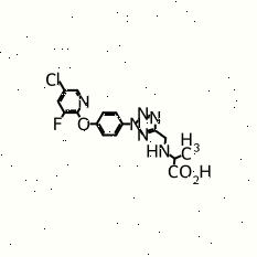 CC(NCc1nnn(-c2ccc(Oc3ncc(Cl)cc3F)cc2)n1)C(=O)O